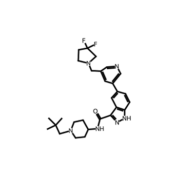 CC(C)(C)CN1CCC(NC(=O)c2n[nH]c3ccc(-c4cncc(CN5CCC(F)(F)C5)c4)cc23)CC1